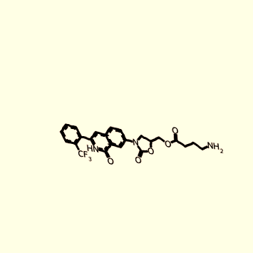 NCCCC(=O)OCC1CN(c2ccc3cc(-c4ccccc4C(F)(F)F)[nH]c(=O)c3c2)C(=O)O1